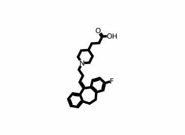 O=C(O)CCC1CCN(CCC=C2c3ccccc3CCc3cc(F)ccc32)CC1